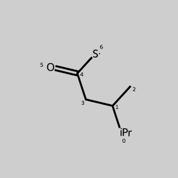 CC(C)C(C)CC(=O)[S]